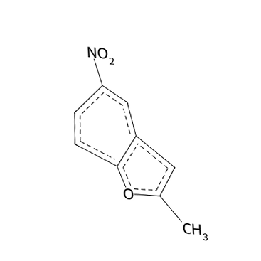 Cc1cc2cc([N+](=O)[O-])ccc2o1